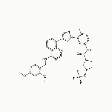 COc1ccc(CNc2ncnc3c(-c4cnn(-c5cc(NC(=O)N6CCC(OC(F)(F)F)C6)ccc5C)c4)cccc23)c(OC)c1